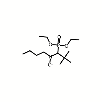 CCCCN([O])C(C(C)(C)C)P(=O)(OCC)OCC